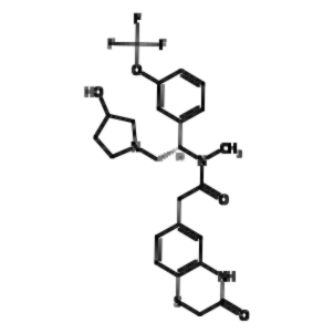 CN(C(=O)Cc1ccc2c(c1)NC(=O)CS2)[C@H](CN1CCC(O)C1)c1cccc(OC(F)(F)F)c1